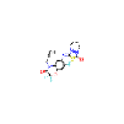 C#CCN1C(=O)C(F)(F)Oc2cc(F)c(/N=c3\sc(=O)n4n3CCCC4)cc21